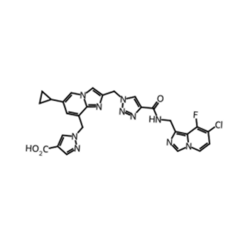 O=C(O)c1cnn(Cc2cc(C3CC3)cn3cc(Cn4cc(C(=O)NCc5ncn6ccc(Cl)c(F)c56)nn4)nc23)c1